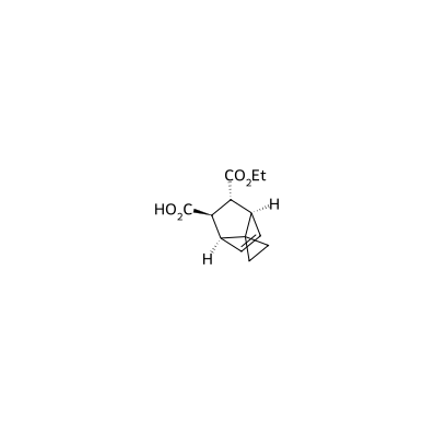 CCOC(=O)[C@H]1[C@H](C(=O)O)[C@@H]2C=C[C@H]1C21CC1